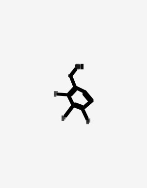 O[CH]c1ccc(F)c(F)c1F